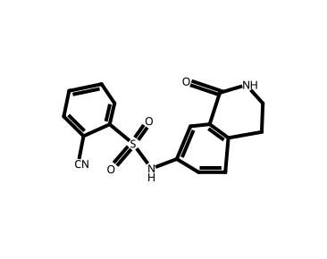 N#Cc1ccccc1S(=O)(=O)Nc1ccc2c(c1)C(=O)NCC2